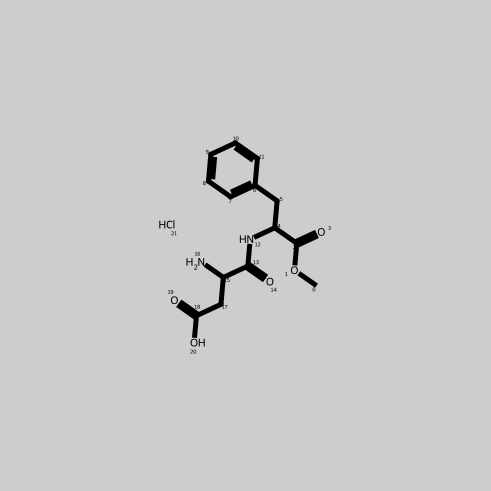 COC(=O)C(Cc1ccccc1)NC(=O)C(N)CC(=O)O.Cl